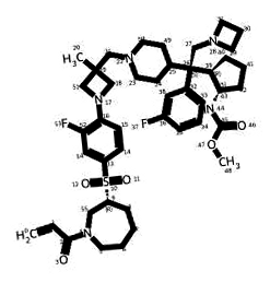 C=CC(=O)N1CCCC[C@@H](S(=O)(=O)c2ccc(N3CC(C)(CN4CCC([C@@](CN5CCC5)(c5cccc(F)c5)[C@H]5CCC[C@@H]5NC(=O)OC)CC4)C3)c(F)c2)C1